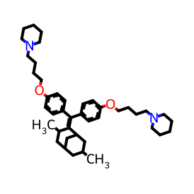 CC1CC2CC(C)C(=C(c3ccc(OCCCCN4CCCCC4)cc3)c3ccc(OCCCCN4CCCCC4)cc3)C(C1)C2